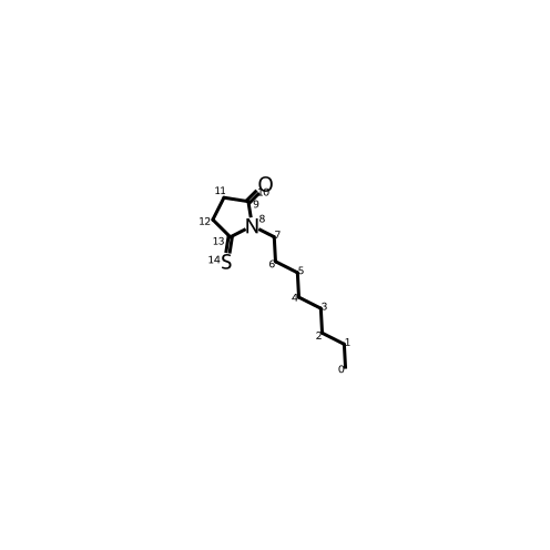 CCCCCCCCN1C(=O)CCC1=S